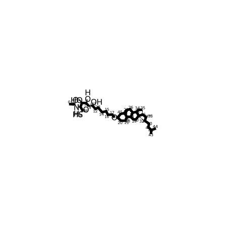 CC(=O)N[C@@H]1[C@@H](O)[C@@H](O)[C@@H](C(O)CCCCCCO[C@@H]2CC[C@@]3(C)C(=CCC4C3CC[C@@]3(C)C4CC[C@@H]3[C@H](C)CCCC(C)C)C2)O[C@H]1S